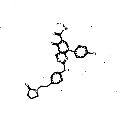 CCc1ccc(-n2cc(C(=O)NOC)c(=O)c3cnc(Nc4ccc(CCN5CCCC5=O)cc4)nc32)cc1